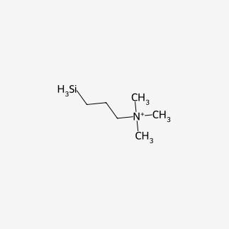 C[N+](C)(C)CCC[SiH3]